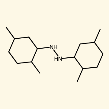 CC1CCC(C)C(NNC2CC(C)CCC2C)C1